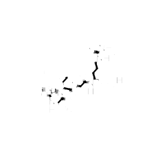 CC[C@H](C)[C@H](NC(=O)OC(C)(C)C)C(=O)N[C@@H](CCC(=O)O)C(=O)NCC(=O)N[C@@H](CCCNC(=N)N)C(=O)O